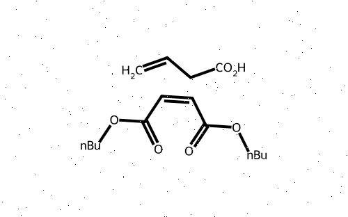 C=CCC(=O)O.CCCCOC(=O)/C=C\C(=O)OCCCC